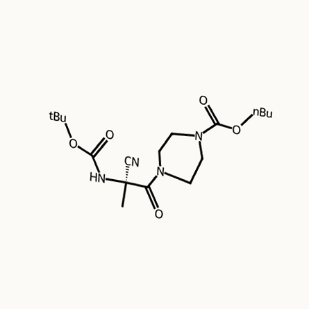 CCCCOC(=O)N1CCN(C(=O)[C@](C)(C#N)NC(=O)OC(C)(C)C)CC1